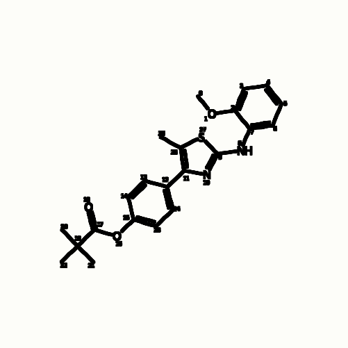 COc1ccccc1Nc1nc(-c2ccc(OC(=O)C(C)(C)C)cc2)c(C)s1